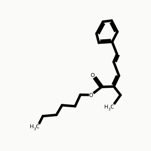 CCCCCCOC(=O)C(=CC=Cc1ccccc1)CC